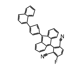 N#Cc1ccc(F)c(C#N)c1-c1c2ccccc2c(-c2ccc(-c3cccc4ccccc34)cc2)c2ccccc12